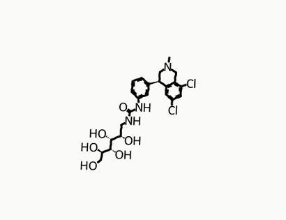 CN1Cc2c(Cl)cc(Cl)cc2[C@@H](c2cccc(NC(=O)NC[C@H](O)[C@@H](O)[C@H](O)[C@H](O)CO)c2)C1